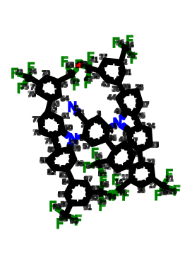 N#Cc1cc(-n2c3cc(-c4cc(C(F)(F)F)cc(C(F)(F)F)c4)ccc3c3ccc(-c4cc(C(F)(F)F)cc(C(F)(F)F)c4)cc32)c(-c2ccccc2C(F)(F)F)cc1-n1c2cc(-c3cc(C(F)(F)F)cc(C(F)(F)F)c3)ccc2c2ccc(-c3cc(C(F)(F)F)cc(C(F)(F)F)c3)cc21